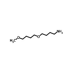 COCCCCOCCCCN